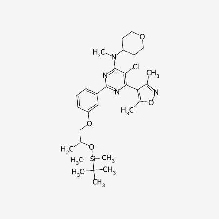 [CH2]C(COc1cccc(-c2nc(-c3c(C)noc3C)c(Cl)c(N(C)C3CCOCC3)n2)c1)O[Si](C)(C)C(C)(C)C